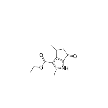 CCOC(=O)c1c(C)[nH]c2c1C(C)CC2=O